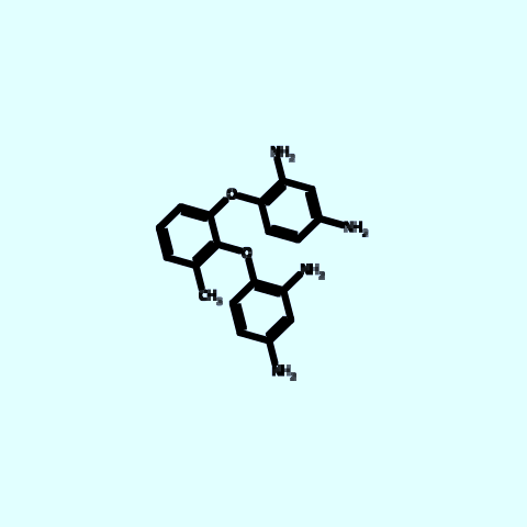 Cc1cccc(Oc2ccc(N)cc2N)c1Oc1ccc(N)cc1N